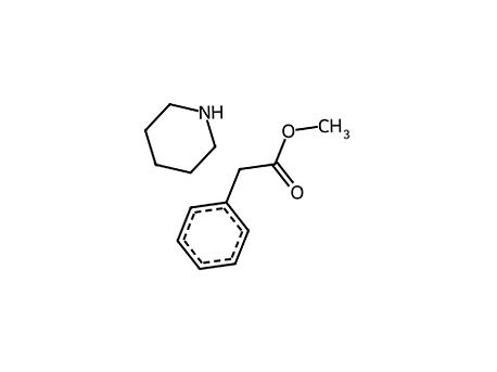 C1CCNCC1.COC(=O)Cc1ccccc1